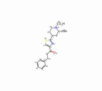 CC(C)(C)C1CC(c2nc(C(=O)CCc3ccccc3)cs2)CCN1C(=O)O